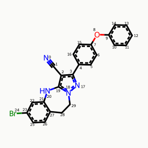 N#Cc1c(-c2ccc(Oc3ccccc3)cc2)nn2c1Nc1cc(Br)ccc1CC2